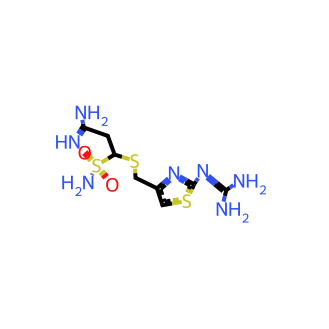 N=C(N)CC(SCc1csc(N=C(N)N)n1)S(N)(=O)=O